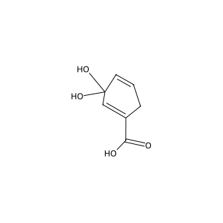 O=C(O)C1=CC(O)(O)C=CC1